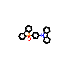 O=P1(c2ccc(-n3c4ccccc4c4ccccc43)cc2)c2ccccc2-c2ccccc21